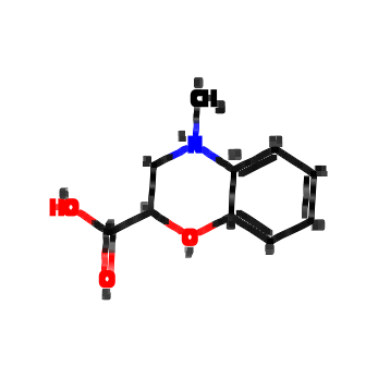 CN1CC(C(=O)O)Oc2ccccc21